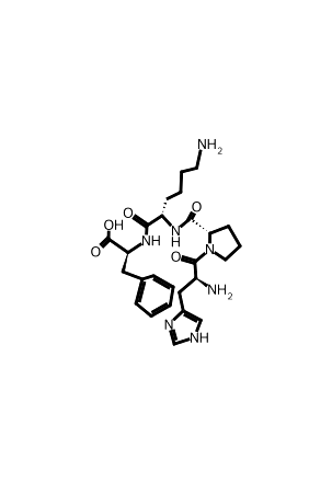 NCCCC[C@H](NC(=O)[C@@H]1CCCN1C(=O)[C@@H](N)Cc1c[nH]cn1)C(=O)N[C@@H](Cc1ccccc1)C(=O)O